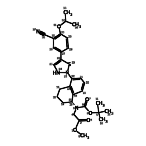 COC(=O)CN(C(=O)OC(C)(C)C)[C@@H]1CCCc2c1cccc2N1NC=C(c2ccc(OC(C)C)c(C#N)c2)S1